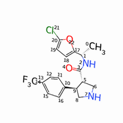 C[C@H](NC(=O)[C@@H]1CNC[C@H]1c1ccc(C(F)(F)F)cc1)c1ccc(Cl)o1